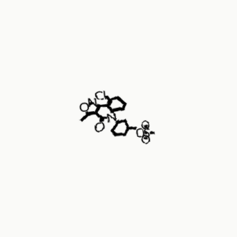 Cc1onc2c1c(=O)n(C1CCCC(COS(C)(=O)=O)C1)c1cccc(Cl)c21